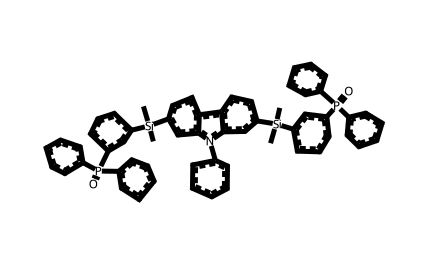 C[Si](C)(c1cccc(P(=O)(c2ccccc2)c2ccccc2)c1)c1ccc2c3ccc([Si](C)(C)c4cccc(P(=O)(c5ccccc5)c5ccccc5)c4)cc3n(-c3ccccc3)c2c1